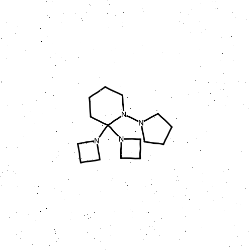 C1CCN(N2CCCCC2(N2CCC2)N2CCC2)C1